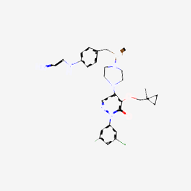 C#[SH](Cc1ccc(NC=C=N)cc1)N1CCN(c2cnn(-c3cc(F)cc(F)c3)c(=O)c2OCC2(C)CC2)CC1